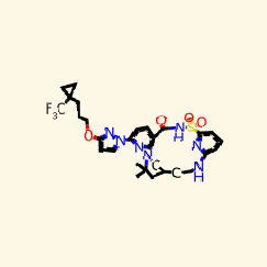 CC1(C)CC2CCNc3cccc(n3)S(=O)(=O)NC(=O)c3ccc(-n4ccc(OCCCC5(C(F)(F)F)CC5)n4)nc3N1C2